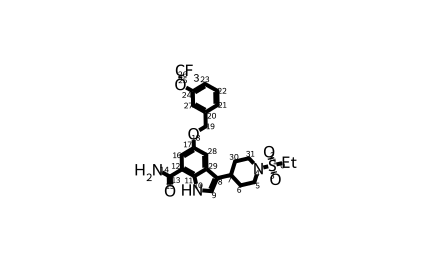 CCS(=O)(=O)N1CCC(c2c[nH]c3c(C(N)=O)cc(OCc4cccc(OC(F)(F)F)c4)cc23)CC1